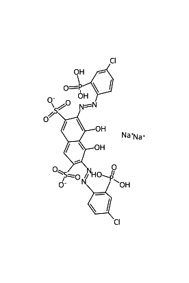 O=P(O)(O)c1cc(Cl)ccc1N=Nc1c(S(=O)(=O)[O-])cc2cc(S(=O)(=O)[O-])c(N=Nc3ccc(Cl)cc3P(=O)(O)O)c(O)c2c1O.[Na+].[Na+]